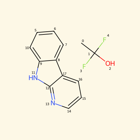 CC(O)(F)F.c1ccc2c(c1)[nH]c1ncccc12